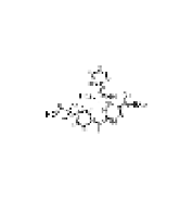 CNC(=O)c1cnc(Nc2ccc(C(C)(C)CO)cc2)nc1N[C@H](CO)c1ccccc1